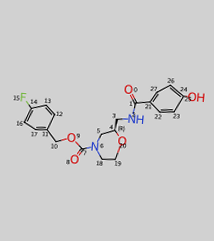 O=C(NC[C@@H]1CN(C(=O)OCc2ccc(F)cc2)CCO1)c1ccc(O)cc1